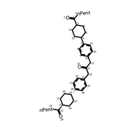 CCCCCC(=O)C1CCC(c2ccc(CC(=O)Cc3ccc([C@H]4CC[C@H](C(=O)CCCCC)CC4)cc3)cc2)CC1